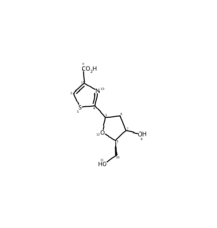 O=C(O)c1csc(C2CC(O)[C@@H](CO)O2)n1